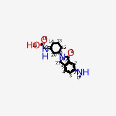 CNc1ccc2c(c1)C(=O)N([C@H]1CCC[C@@H](NC(=O)O)C1)C2